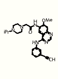 C#Cc1cccc(Nc2ncnc3cc(OC)c(NC(=O)CN4CCN(C(C)C)CC4)cc23)c1